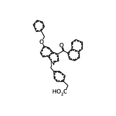 O=C(O)Cc1ccc(Cn2cc(C(=O)c3cccc4ccccc34)c3cc(OCc4ccccc4)ccc32)cc1